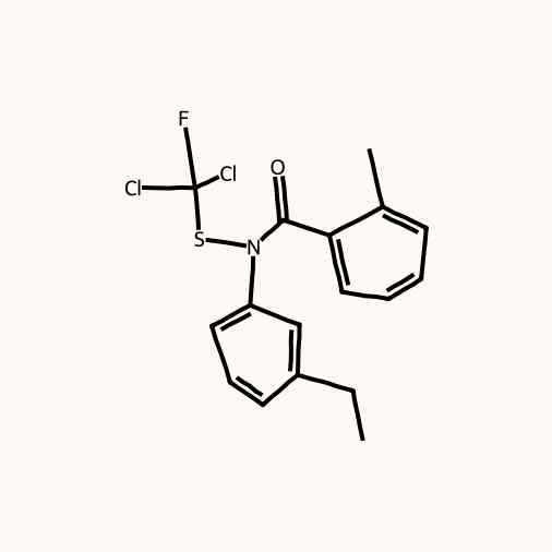 CCc1cccc(N(SC(F)(Cl)Cl)C(=O)c2ccccc2C)c1